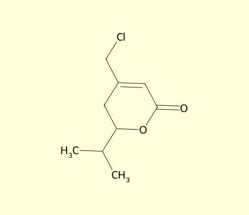 CC(C)C1CC(CCl)=CC(=O)O1